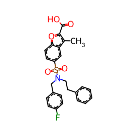 Cc1c(C(=O)O)oc2ccc(S(=O)(=O)N(CCc3ccccc3)Cc3ccc(F)cc3)cc12